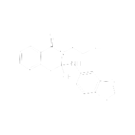 O=C1c2ccccc2CC(Nc2ccc3c(c2)OCO3)(C(F)(F)F)N1CCO